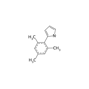 Cc1cc(C)c(C2=CC=C[N]2)c(C)c1